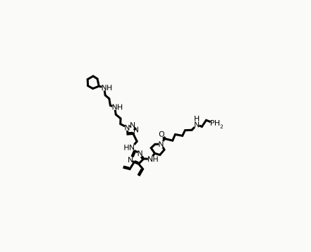 C=Cc1nc(NCc2cn(CCCNCCCNC3CCCCC3)nn2)nc(NC2CCN(C(=O)CCCCCNCCP)CC2)c1C=C